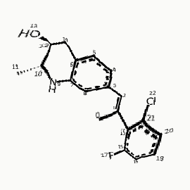 CC(=Cc1ccc2c(c1)N[C@H](C)[C@@H](O)C2)c1c(F)cccc1Cl